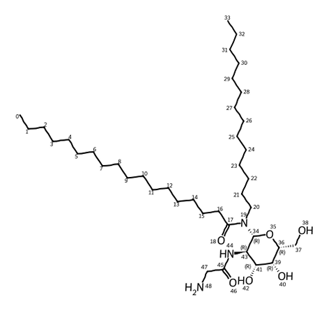 CCCCCCCCCCCCCCCCCC(=O)N(CCCCCCCCCCCCCC)[C@@H]1O[C@H](CO)[C@H](O)[C@H](O)[C@H]1NC(=O)CN